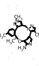 Cc1ccc2c(c1)[C@@H](C)Oc1cc(cnc1N)-c1c(C#N)cnn1Cc1cn(C)nc1-2